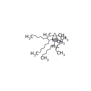 CCCCCCC(CCC)/C(C)=C(\C(CCCCCC)CCCCCC)C1(C)CC1(C)BC1(C)CC1C